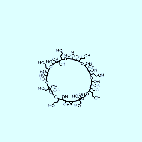 OCCC1OC(O)/C(O)=C(/O)C(CCO)OC2OC(CO)C(C(O)C2O)C2CC2/C(O)=C(\O)C(CCO)OC2OC(CO)C(OC(O)/C(O)=C(/O)C(CCO)OC(O)/C(O)=C(\O)C(CCO)OC(O)/C(O)=C(/O)C(CCO)OC(O)/C(O)=C\1O)C(O)C2O